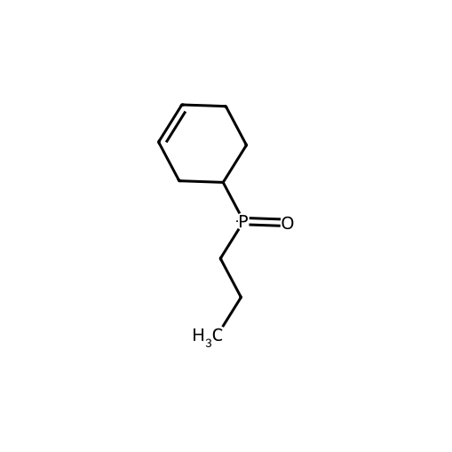 CCC[P](=O)C1CC=CCC1